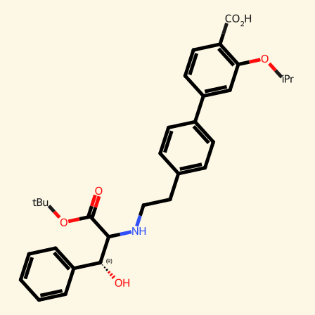 CC(C)Oc1cc(-c2ccc(CCNC(C(=O)OC(C)(C)C)[C@H](O)c3ccccc3)cc2)ccc1C(=O)O